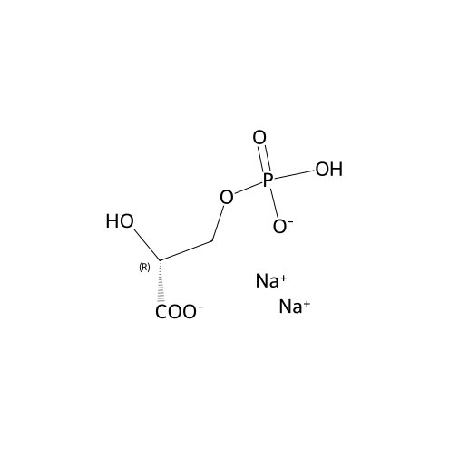 O=C([O-])[C@H](O)COP(=O)([O-])O.[Na+].[Na+]